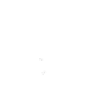 CON(Br)S(=O)(=O)c1ccccc1